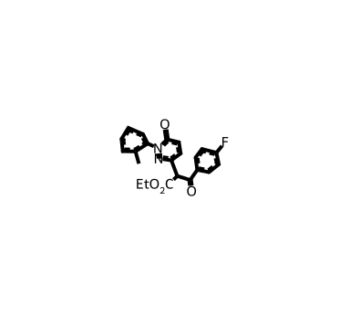 CCOC(=O)C(C(=O)c1ccc(F)cc1)c1ccc(=O)n(-c2ccccc2C)n1